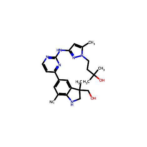 Cc1cc(Nc2nccc(-c3cc(C#N)c4c(c3)C(C)(CO)CN4)n2)nn1CCC(C)(C)O